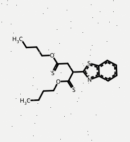 CCCCOC(=S)CC(C(=S)OCCCC)c1nc2ccccc2s1